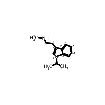 CNCCc1cn(C(C)C)c2ccccc12